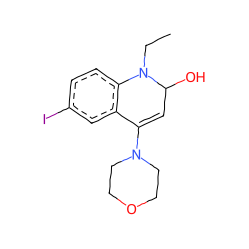 CCN1c2ccc(I)cc2C(N2CCOCC2)=CC1O